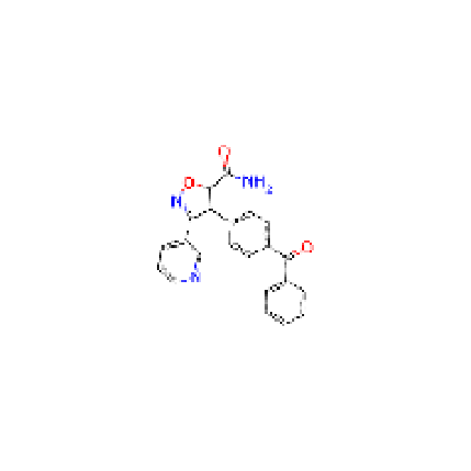 NC(=O)C1ON=C(c2cccnc2)C1c1ccc(C(=O)c2ccccc2)cc1